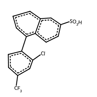 O=S(=O)(O)c1ccc2c(-c3ccc(C(F)(F)F)cc3Cl)cccc2c1